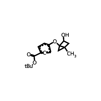 CC(C)(C)OC(=O)c1ccc(OC23CC2(C)CC3O)cc1